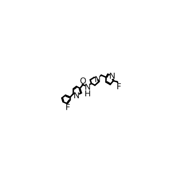 O=C(NC1CCN(Cc2ccc(CF)nc2)CC1)c1ccc(-c2cccc(F)c2)nc1